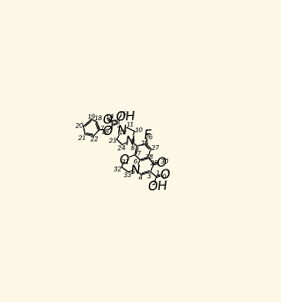 O=C(O)c1cn2c3c(c(N4CCN(P(=O)(O)Oc5ccccc5)CC4)c(F)cc3c1=O)OCC2